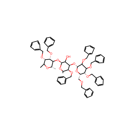 CC1O[C@@H](OC2[C@H](C)OC(C)[C@H](OCc3ccccc3)[C@@H]2OCc2ccccc2)C(O)[C@@H](O[C@H]2O[C@@H](COCc3ccccc3)[C@@H](OCc3ccccc3)C(OCc3ccccc3)C2OCc2ccccc2)[C@H]1OCc1ccccc1